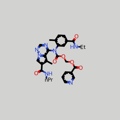 CCCNC(=O)c1cn2ncnc(N(C(=O)OCOC(=O)c3cccnc3)c3cc(C(=O)NCC)ccc3C)c2c1C